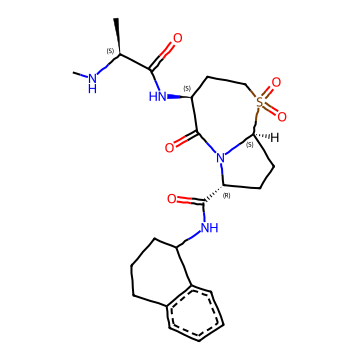 CN[C@@H](C)C(=O)N[C@H]1CCS(=O)(=O)[C@H]2CC[C@H](C(=O)NC3CCCc4ccccc43)N2C1=O